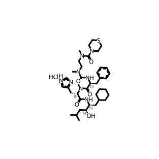 CC(C)C[C@H](O)[C@H](CC1CCCCC1)NC(=O)[C@H](Cc1c[nH]cn1)N(C)C(=O)[C@H](Cc1ccccc1)NC(=O)N(C)CCN(C)C(=O)N1CCSCC1.Cl